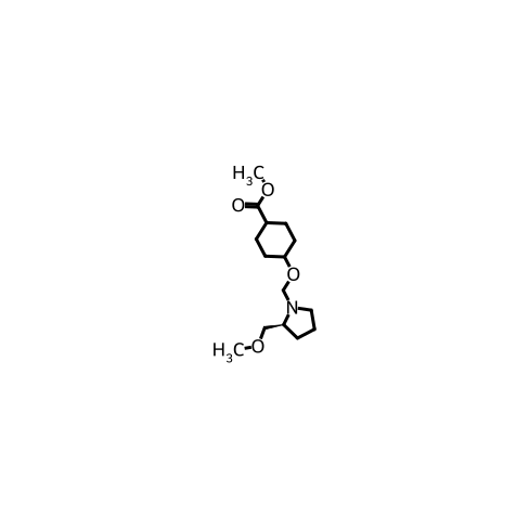 COC[C@@H]1CCCN1COC1CCC(C(=O)OC)CC1